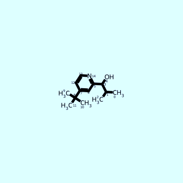 CC(C)C(O)c1cc(C(C)(C)C)ccn1